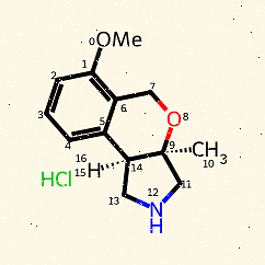 COc1cccc2c1CO[C@@]1(C)CNC[C@@H]21.Cl